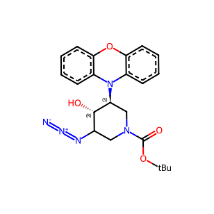 CC(C)(C)OC(=O)N1CC(N=[N+]=[N-])[C@H](O)[C@@H](N2c3ccccc3Oc3ccccc32)C1